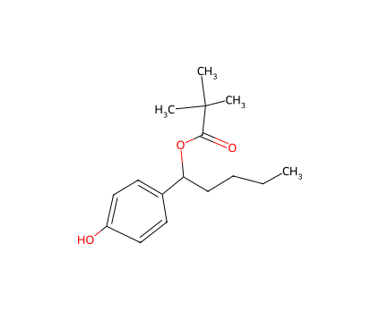 CCCCC(OC(=O)C(C)(C)C)c1ccc(O)cc1